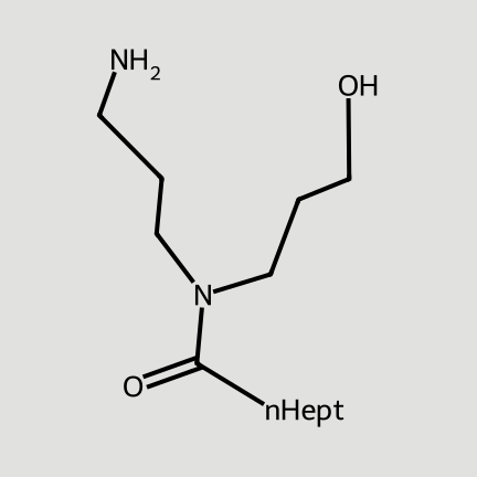 CCCCCCCC(=O)N(CCCN)CCCO